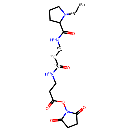 [13CH3]C([13CH3])([13CH3])[13CH2]N1CCCC1C(=O)[15NH][13CH2][13CH2][13C](=O)[15NH]CCC(=O)ON1C(=O)CCC1=O